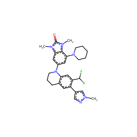 Cn1cc(-c2cc3c(cc2C(F)F)N(c2cc(N4CCCCC4)c4c(c2)n(C)c(=O)n4C)CCC3)cn1